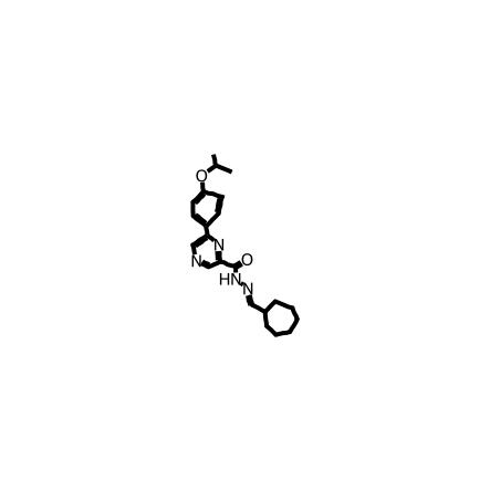 CC(C)Oc1ccc(-c2cncc(C(=O)N/N=C/C3CCCCCC3)n2)cc1